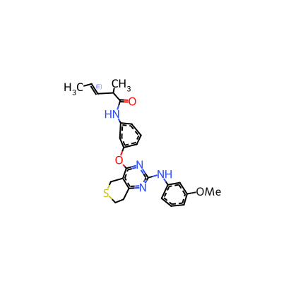 C/C=C/C(C)C(=O)Nc1cccc(Oc2nc(Nc3cccc(OC)c3)nc3c2CSCC3)c1